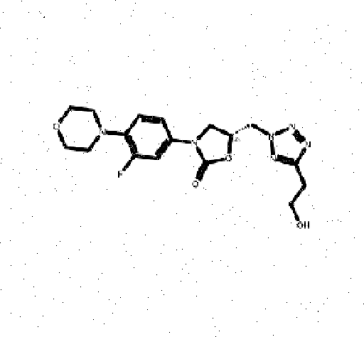 O=C1O[C@@H](Cn2nnc(CCO)n2)CN1c1ccc(N2CCOCC2)c(F)c1